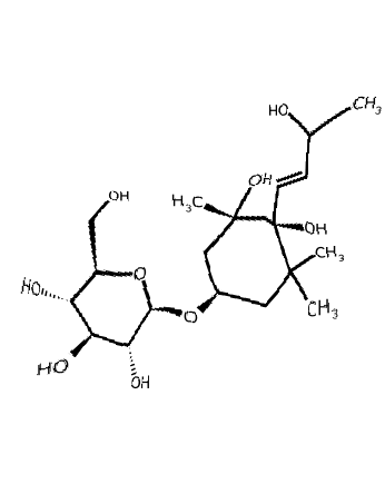 CC(O)/C=C/[C@]1(O)C(C)(C)C[C@@H](O[C@@H]2O[C@H](CO)[C@@H](O)[C@H](O)[C@H]2O)C[C@]1(C)O